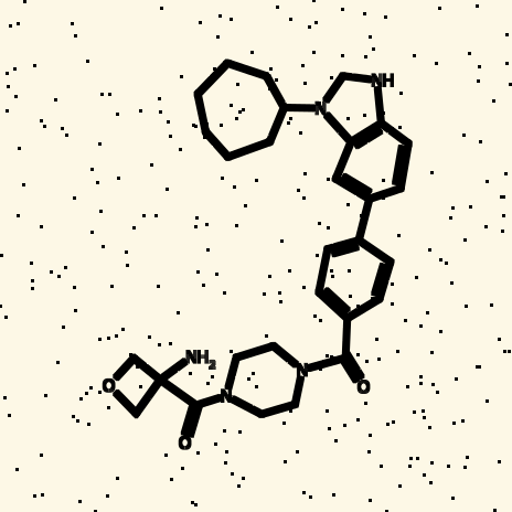 NC1(C(=O)N2CCN(C(=O)c3ccc(-c4ccc5c(c4)N(C4CCCCCC4)CN5)cc3)CC2)COC1